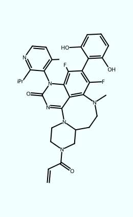 C=CC(=O)N1CCN2c3nc(=O)n(-c4c(C)ccnc4C(C)C)c4c(F)c(-c5c(O)cccc5O)c(F)c(c34)N(C)CCC2C1